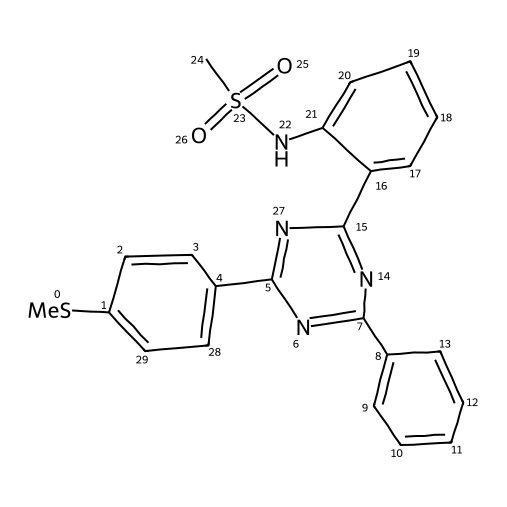 CSc1ccc(-c2nc(-c3ccccc3)nc(-c3ccccc3NS(C)(=O)=O)n2)cc1